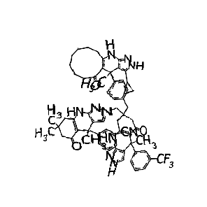 CC1(C)CC(=O)C2=C(C1)Nc1nn(CC3(Cc4ccc(C5(C)C6=C(CCCCCCCC6=O)Nc6n[nH]c(C7CC7)c65)cc4)CC(=O)C4=C(C3)Nc3n[nH]cc3C4(C)c3cccc(C(F)(F)F)c3)cc1C2(C)c1cccc(C#N)c1